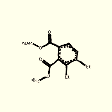 CCCCCCCCCCOC(=O)c1ccc(CC)c(CC)c1C(=O)OCCCCCCCCCC